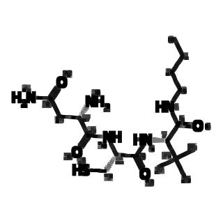 CCCCNC(=O)[C@@H](NC(=O)[C@H](CS)NC(=O)[C@@H](N)CC(N)=O)C(C)(C)C